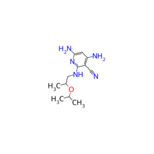 CC(C)OC(C)CNc1nc(N)cc(N)c1C#N